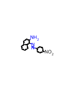 Nc1ccc2ccccc2c1N=Nc1ccc([N+](=O)[O-])cc1